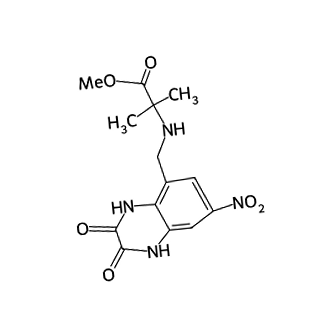 COC(=O)C(C)(C)NCc1cc([N+](=O)[O-])cc2[nH]c(=O)c(=O)[nH]c12